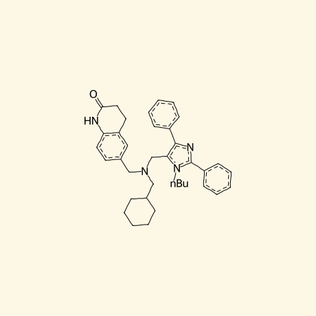 CCCCn1c(-c2ccccc2)nc(-c2ccccc2)c1CN(Cc1ccc2c(c1)CCC(=O)N2)CC1CCCCC1